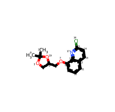 CC1(C)OCC(COc2cccc3ccc(Cl)nc23)O1